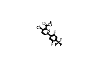 COC(=O)c1nc(-c2cc(F)c(C(F)(F)F)cc2F)ccc1Cl